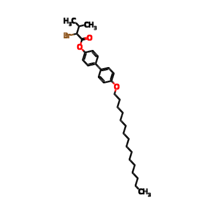 CCCCCCCCCCCCCCCCOc1ccc(-c2ccc(OC(=O)C(Br)C(C)C)cc2)cc1